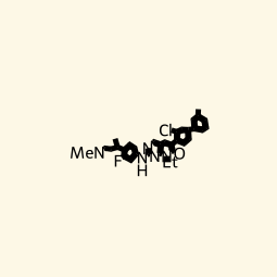 CCn1c(=O)c(-c2ccc(-c3cccc(C)c3)cc2Cl)cc2cnc(Nc3ccc(C(C)CCNC)c(F)c3)nc21